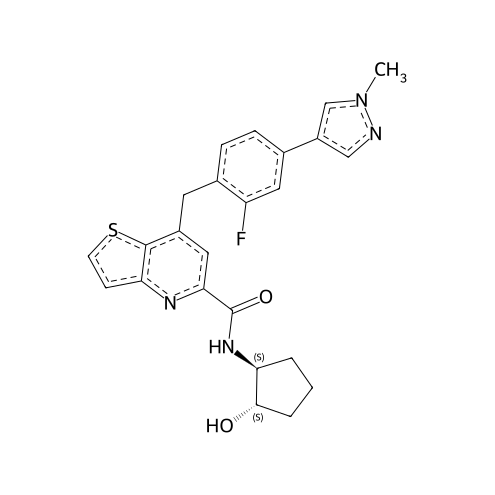 Cn1cc(-c2ccc(Cc3cc(C(=O)N[C@H]4CCC[C@@H]4O)nc4ccsc34)c(F)c2)cn1